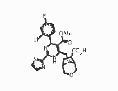 COC(=O)C1=C(CN2C3COCC2C(C(=O)O)C3)NC(c2nccs2)=NC1c1ccc(F)cc1Cl